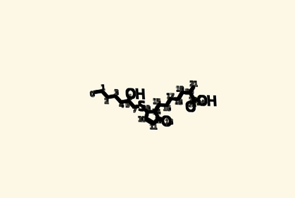 CCCCCC(O)CSC1C=CC(=O)C1CCCCCC(C)C(=O)O